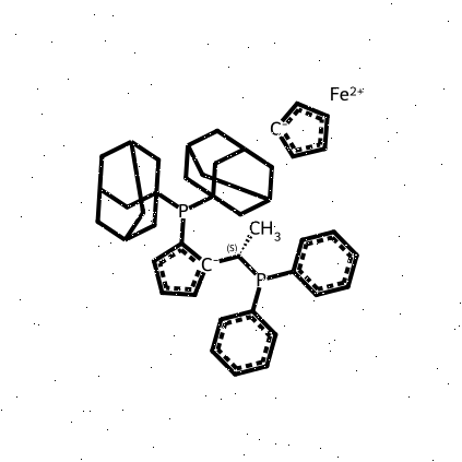 C[C@@H]([c-]1cccc1P(C12CC3CC(CC(C3)C1)C2)C12CC3CC(CC(C3)C1)C2)P(c1ccccc1)c1ccccc1.[Fe+2].c1cc[cH-]c1